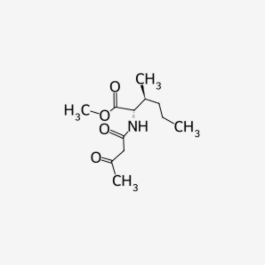 CCC[C@H](C)[C@H](NC(=O)CC(C)=O)C(=O)OC